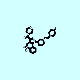 O=C(c1nn(C2CCCN(CCN3CCC(F)CC3)C2)c2c1CS(=O)(=O)c1ccccc1-2)N1CCOCC1